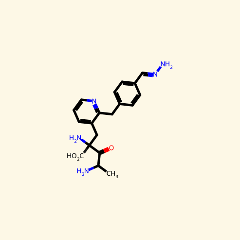 CC(N)C(=O)C(N)(Cc1cccnc1Cc1ccc(C=NN)cc1)C(=O)O